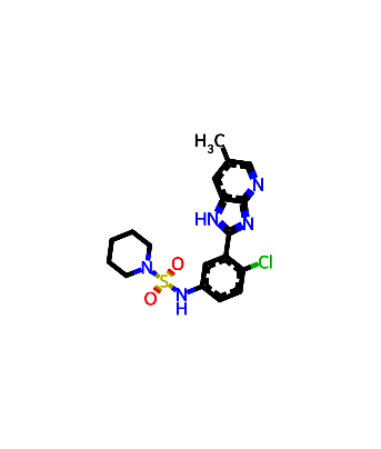 Cc1cnc2nc(-c3cc(NS(=O)(=O)N4CCCCC4)ccc3Cl)[nH]c2c1